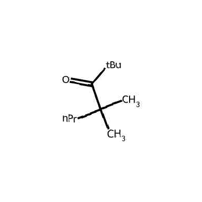 CCCC(C)(C)C(=O)C(C)(C)C